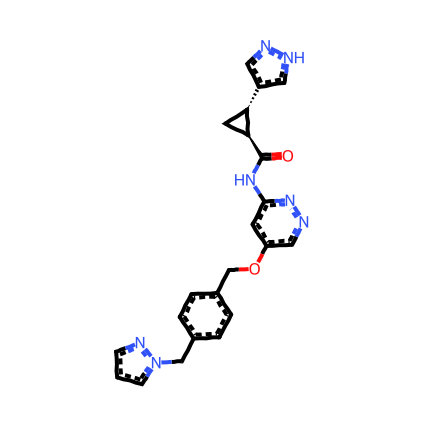 O=C(Nc1cc(OCc2ccc(Cn3cccn3)cc2)cnn1)[C@H]1C[C@@H]1c1cn[nH]c1